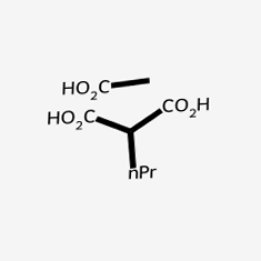 CC(=O)O.CCCC(C(=O)O)C(=O)O